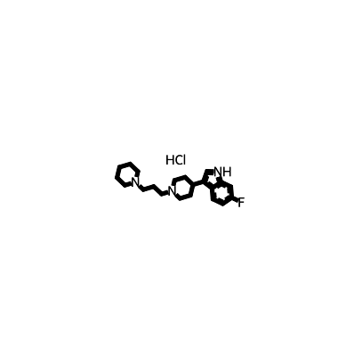 Cl.Fc1ccc2c(C3CCN(CCCN4CCCCC4)CC3)c[nH]c2c1